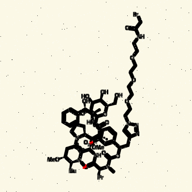 CC[C@H](C)[C@@H]([C@@H](CC(=O)N1CCC[C@H]1[C@H](OC)[C@@H](C)C(=O)N[C@H](C)[C@@H](O)c1ccccc1)OC)N(C)C(=O)[C@@H](NC(=O)[C@H](C(C)C)N(C)C(=O)OC(Cc1cn(CCOCCOCCOCCNC(=O)CBr)nn1)c1ccc(OC2O[C@H](CO)[C@H](O)[C@H](O)[C@H]2O)c([N+](=O)[O-])c1)C(C)C